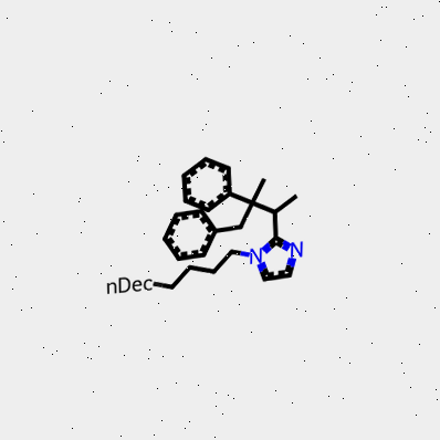 CCCCCCCCCCCCCCn1ccnc1C(C)C(C)(Cc1ccccc1)c1ccccc1